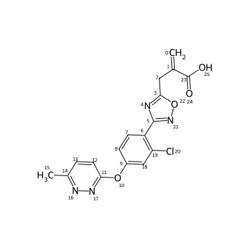 C=C(Cc1nc(-c2ccc(Oc3ccc(C)nn3)cc2Cl)no1)C(=O)O